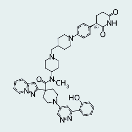 CN(C(=O)C1(c2cc3ccccn3n2)CCN(c2cnnc(-c3ccccc3O)c2)CC1)C1CCN(CC2CCN(c3ccc([C@H]4CCC(=O)NC4=O)cc3)CC2)CC1